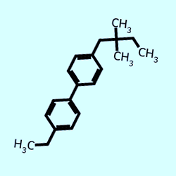 CCc1ccc(-c2ccc(CC(C)(C)CC)cc2)cc1